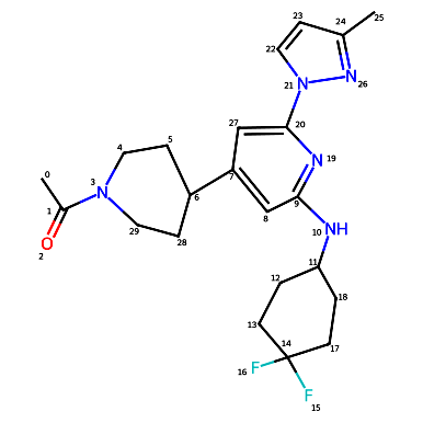 CC(=O)N1CCC(c2cc(NC3CCC(F)(F)CC3)nc(-n3ccc(C)n3)c2)CC1